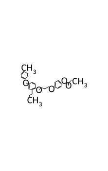 CCCc1cc(Oc2ccc(C)cc2)ccc1OCCCOc1ccc(OC(=O)CC)cc1